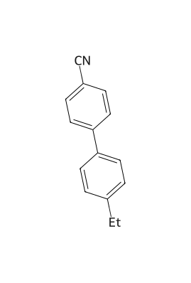 CCc1ccc(-c2ccc(C#N)cc2)cc1